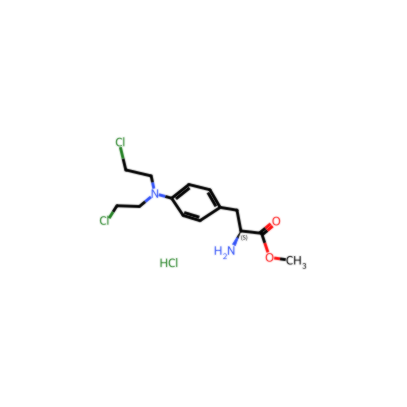 COC(=O)[C@@H](N)Cc1ccc(N(CCCl)CCCl)cc1.Cl